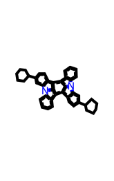 c1ccc2c(c1)c1c3c4ccc(C5CCCCC5)cc4n4c5ccccc5c(c5c6ccc(C7CCCCC7)cc6n2c15)c34